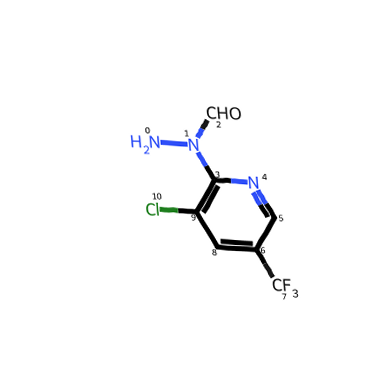 NN(C=O)c1ncc(C(F)(F)F)cc1Cl